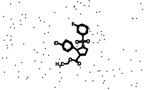 CCOC(=O)C1=CCN(S(=O)(=O)c2cccc(F)c2)C1c1ccc(Cl)cc1